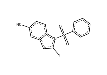 N#Cc1ccc2c(c1)cc(I)n2S(=O)(=O)c1ccccc1